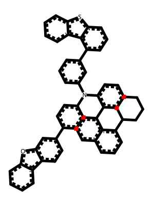 c1cc(-c2cccc3sc4ccccc4c23)cc(N(c2ccc(-c3ccc4c(c3)oc3ccccc34)cc2)c2ccccc2-c2cccc3cccc(C4CCCCC4)c23)c1